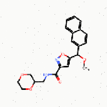 COC(c1ccc2ccccc2c1)c1cc(C(=O)NCC2COCCO2)no1